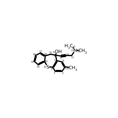 Cc1ccc2c(c1)C(O)(C#CCN(C)C)Cc1ccccc1S2